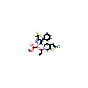 C=CC(=O)N1Cc2sc(Cl)cc2[C@@H](c2ccccc2-c2cn(CC(=O)OC)nc2C(F)(F)F)C1